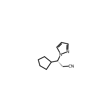 N#CC[C@H](C1CCCC1)n1cccn1